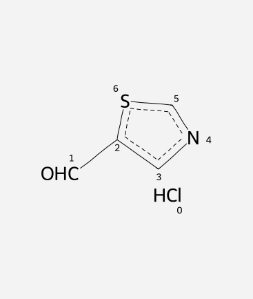 Cl.O=Cc1cncs1